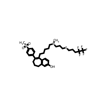 CN(CCCCCC1=C(c2ccc(S(C)(=O)=O)cc2)CCCc2cc(O)ccc21)CCCSCCCC(F)(F)C(F)(F)F